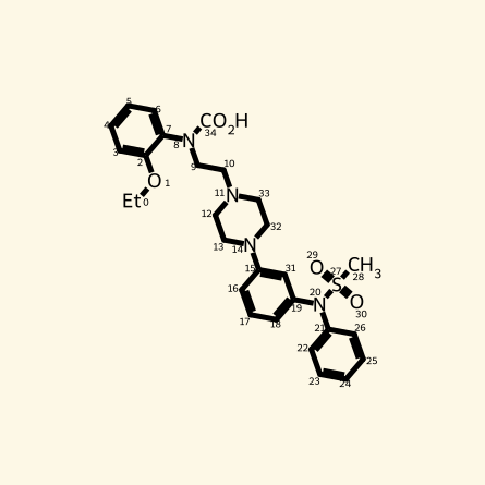 CCOc1ccccc1N(CCN1CCN(c2cccc(N(c3ccccc3)S(C)(=O)=O)c2)CC1)C(=O)O